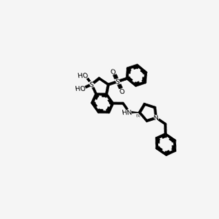 O=S(=O)(c1ccccc1)C1CS(O)(O)c2cccc(CN[C@H]3CCN(Cc4ccccc4)C3)c21